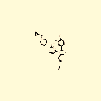 CCOC(=O)Cc1cnc(-c2ccc(Cl)c(Cl)c2)n1-c1ccnc(N[C@H]2CCCN(C(=O)C3CC3)C2)n1